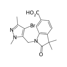 Cc1nn(C)c(CN2C(=O)C(C)(C)c3ccc(C(=O)O)cc32)c1Br